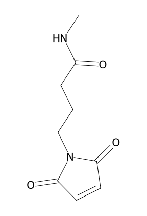 CNC(=O)CCCN1C(=O)C=CC1=O